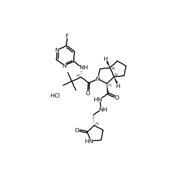 CC(C)(C)[C@H](Nc1cc(F)ncn1)C(=O)N1C[C@@H]2CCC[C@@H]2[C@H]1C(=O)NNC[C@@H]1CCNC1=O.Cl